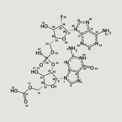 Nc1nc2c(ncn2[C@@H]2O[C@H](COC(=O)O)C(O)[C@@H]2OP(=O)(S)OC[C@H]2O[C@@H](n3cnc4c(N)ncnc43)[C@@H](F)C2O)c(=O)[nH]1